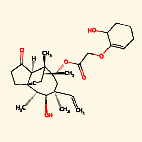 C=C[C@]1(C)C[C@@H](OC(=O)COC2=CCCCC2O)[C@]2(C)[C@H](C)CC[C@]3(CCC(=O)[C@H]32)[C@@H](C)[C@@H]1O